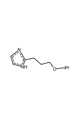 CC(C)OCCCc1n[c]c[nH]1